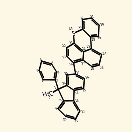 CC1(c2ccccc2)c2ccccc2-c2ccc(-c3ccc4c5c(cccc35)-c3ccccc3S4)cc21